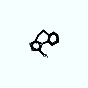 FC(F)(F)c1nnc2n1-c1ccccc1CC2